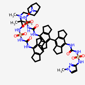 CN(CCN1C2CCC1CC(NS(=O)(=O)NC(=O)Nc1c3c(c(-c4c5c(c(NC(=O)NS(=O)(=O)Nc6ccn(C)n6)c6c4CCC6)CCC5)c4c1CCC4)CCC3)C2)C(C)(C)CNS(=O)(=O)NC(=O)Nc1c2c(cc3c1CCC3)CCC2